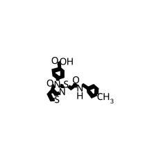 Cc1ccc(CNC(=O)CSc2nc3sccc3c(=O)n2-c2ccc(C(=O)O)cc2)cc1